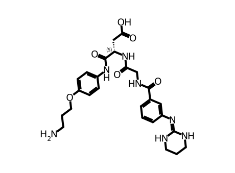 NCCCOc1ccc(NC(=O)[C@H](CC(=O)O)NC(=O)CNC(=O)c2cccc(N=C3NCCCN3)c2)cc1